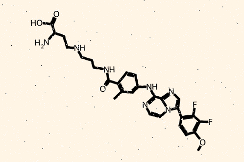 COc1ccc(-c2cnc3c(Nc4ccc(C(=O)NCCCNCCC(N)C(=O)O)c(C)c4)nccn23)c(F)c1F